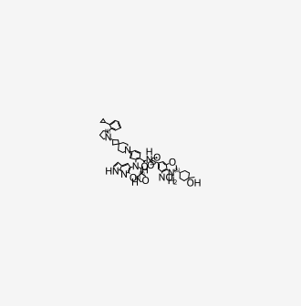 CC1(O)CCC([C@H]2COc3cc(S(=O)(=O)NC(=O)c4ccc(N5CCC6(CC5)CC(N5CCC[C@H]5c5ccccc5C5CC5)C6)cc4N4C[C@@H]5COC[C@@H]5Oc5nc6[nH]ccc6cc54)cc([N+](=O)[O-])c3N2)CC1